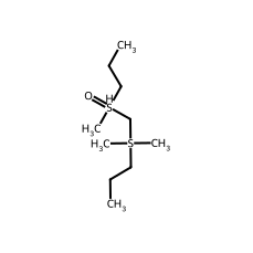 CCCS(C)(C)C[SH](C)(=O)CCC